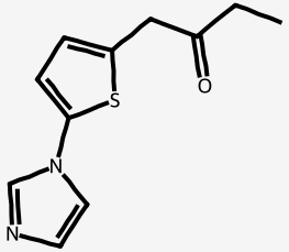 CCC(=O)Cc1ccc(-n2ccnc2)s1